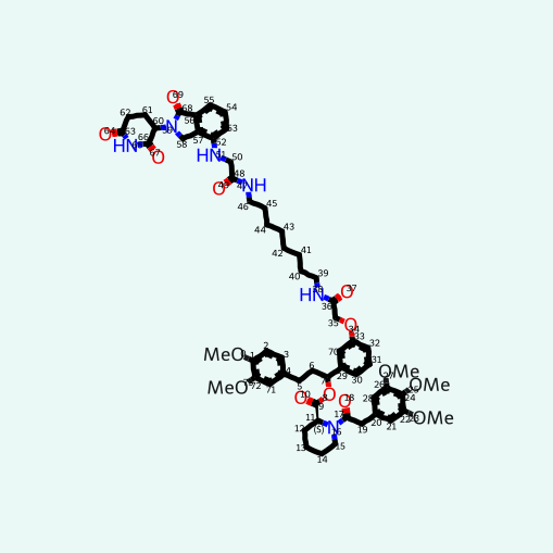 COc1ccc(CCC(OC(=O)[C@@H]2CCCCN2C(=O)Cc2cc(OC)c(OC)c(OC)c2)c2cccc(OCC(=O)NCCCCCCCCNC(=O)CNc3cccc4c3CN(C3CCC(=O)NC3=O)C4=O)c2)cc1OC